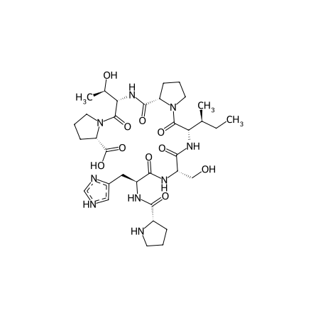 CC[C@H](C)[C@H](NC(=O)[C@H](CO)NC(=O)[C@H](Cc1c[nH]cn1)NC(=O)[C@@H]1CCCN1)C(=O)N1CCC[C@H]1C(=O)N[C@H](C(=O)N1CCC[C@H]1C(=O)O)[C@@H](C)O